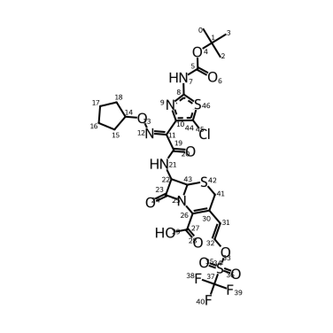 CC(C)(C)OC(=O)Nc1nc(C(=NOC2CCCC2)C(=O)NC2C(=O)N3C(C(=O)O)=C(C=COS(=O)(=O)C(F)(F)F)CSC23)c(Cl)s1